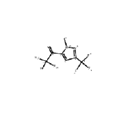 C=C(c1cc(C(F)(F)F)nn1C)C(C)(F)F